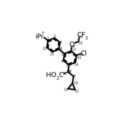 CC(C)c1ccc(-c2cc([C@@H](CC3CC3)C(=O)O)cc(Cl)c2OCC(F)(F)F)cc1